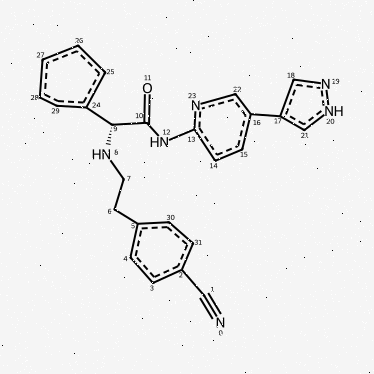 N#Cc1ccc(CCN[C@@H](C(=O)Nc2ccc(-c3cn[nH]c3)cn2)c2ccccc2)cc1